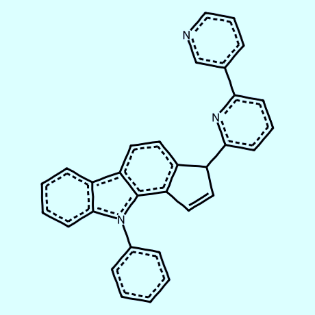 C1=CC(c2cccc(-c3cccnc3)n2)c2ccc3c4ccccc4n(-c4ccccc4)c3c21